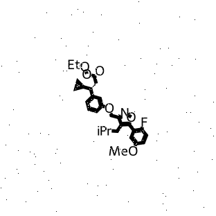 CCOOC(=O)C[C@H](c1cccc(OCc2noc(-c3cc(OC)ccc3F)c2CC(C)C)c1)C1CC1